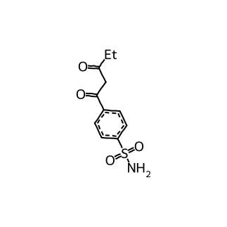 CCC(=O)CC(=O)c1ccc(S(N)(=O)=O)cc1